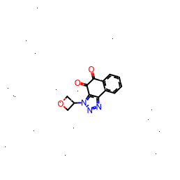 O=C1C(=O)c2c(nnn2C2COC2)-c2ccccc21